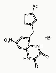 Br.CC(=O)c1ccn(Cc2cc([N+](=O)[O-])cc3[nH]c(=O)c(=O)[nH]c23)c1